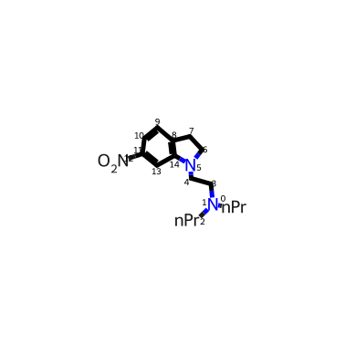 CCCN(CCC)CCN1CCc2ccc([N+](=O)[O-])cc21